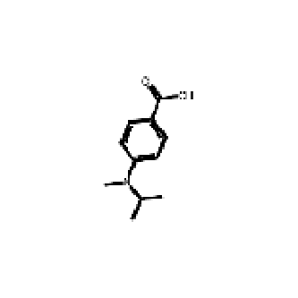 CC(C)N(C)c1ccc(C(=O)O)cc1